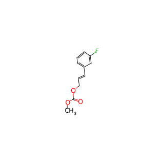 COC(=O)OCC=Cc1cccc(F)c1